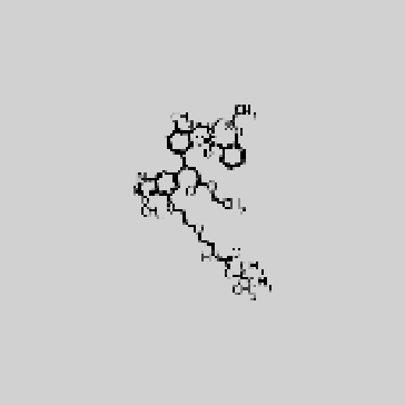 CCOC(=O)CC(c1ccc(C)c(CN2C[C@@H](C)Oc3ccccc3S2(=O)=O)c1)c1cc(OCCOCCNC(=O)OC(C)(C)C)c2c(c1)nnn2C